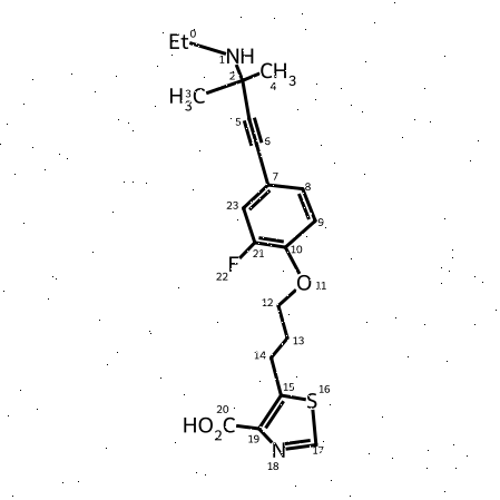 CCNC(C)(C)C#Cc1ccc(OCCCc2scnc2C(=O)O)c(F)c1